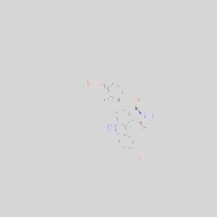 COc1ccc2[nH]c3cc(-c4cccc(O)c4Cl)c4c(c3c2c1)C(=O)NC4=O